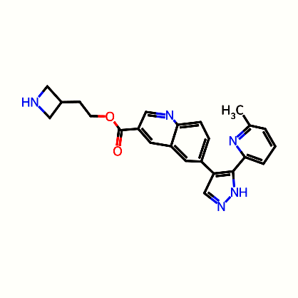 Cc1cccc(-c2[nH]ncc2-c2ccc3ncc(C(=O)OCCC4CNC4)cc3c2)n1